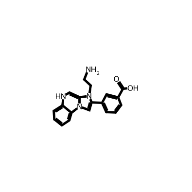 NCCN1C(c2cccc(C(=O)O)c2)=CN2C1=CNc1ccccc12